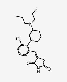 CCCN(CCC)C1CCCN(c2c(Cl)cccc2/C=C2/SC(=O)NC2=O)C1